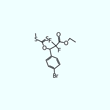 CCOC(=O)C(F)(F)C(OC(=S)SC)c1ccc(Br)cc1